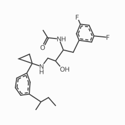 CCC(C)c1cccc(C2(NCC(O)C(Cc3cc(F)cc(F)c3)NC(C)=O)CC2)c1